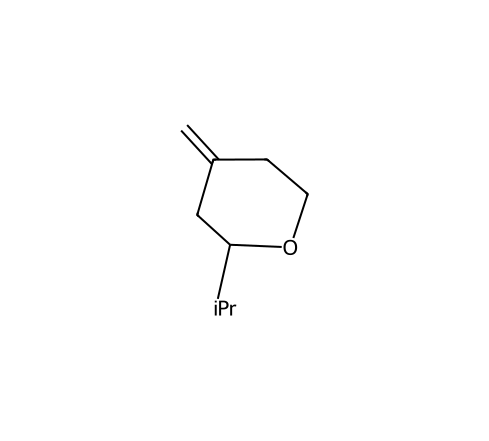 C=C1CCOC(C(C)C)C1